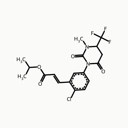 CC(C)OC(=O)C=Cc1cc(N2C(=O)CC(C(F)(F)F)N(C)C2=O)ccc1Cl